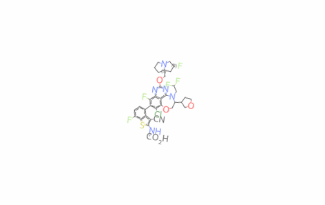 N#Cc1c(NC(=O)O)sc2c(F)ccc(-c3c(Cl)c4c5c(nc(OC[C@@]67CCCN6C[C@H](F)C7)nc5c3F)N(CC(F)F)C(C3CCOC3)CO4)c12